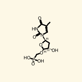 Cc1cn([C@H]2C[C@H](O)[C@@H](OCP(=O)(O)O)O2)c(=O)[nH]c1=O